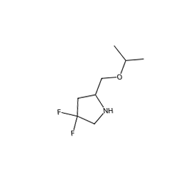 CC(C)OCC1CC(F)(F)CN1